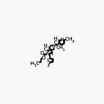 CCCOC(=O)N[C@H](C)C1(CCc2ccc(F)s2)CCN(C(C)(C)c2ccc(C)nc2)C1